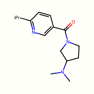 CC(C)c1ccc(C(=O)N2CCC(N(C)C)C2)cn1